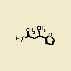 C=C(C)CC(C)c1ccco1